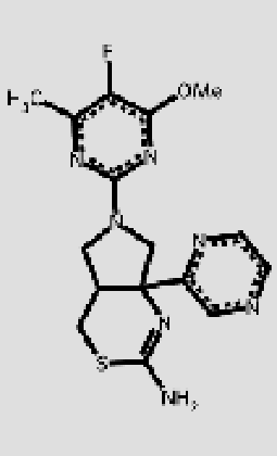 COc1nc(N2CC3CSC(N)=NC3(c3cnccn3)C2)nc(C)c1F